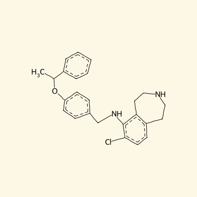 CC(Oc1ccc(CNc2c(Cl)ccc3c2CCNCC3)cc1)c1ccccc1